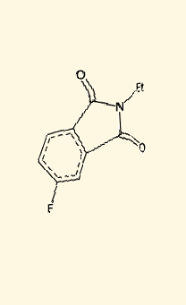 CCN1C(=O)c2ccc(F)cc2C1=O